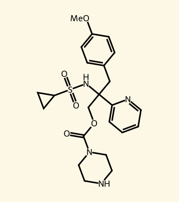 COc1ccc(CC(COC(=O)N2CCNCC2)(NS(=O)(=O)C2CC2)c2ccccn2)cc1